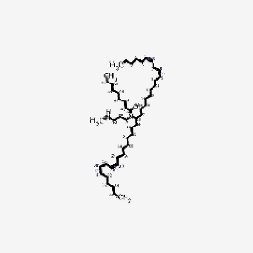 CCCCC/C=C\C/C=C\CCCCCCCCC(CCCCCCCC/C=C\C/C=C\CCCCC)N(CCCNC)C(=O)CCCCCCCC